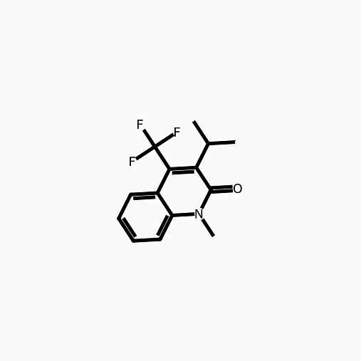 CC(C)c1c(C(F)(F)F)c2ccccc2n(C)c1=O